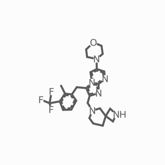 Cc1c(Cc2c(CN3CCCC4(CNC4)C3)nc3ncc(N4CCOCC4)cn23)cccc1C(F)(F)F